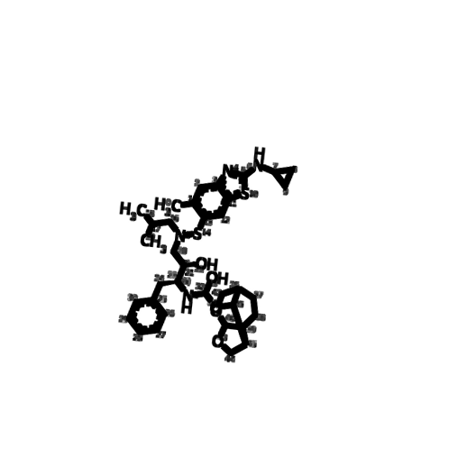 Cc1cc2nc(NC3CC3)sc2cc1SN(CC(C)C)C[C@@H](O)[C@H](Cc1ccccc1)NC(O)OC1C2CCC3C(OC2)OCC31